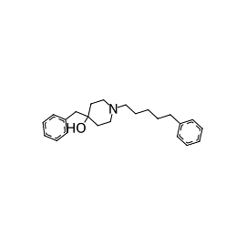 OC1(Cc2ccccc2)CCN(CCCCCc2ccccc2)CC1